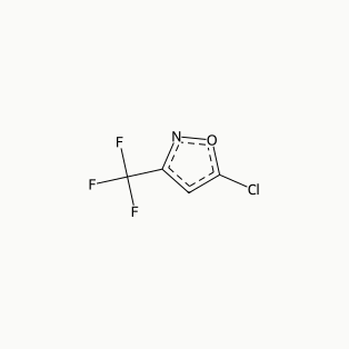 FC(F)(F)c1cc(Cl)on1